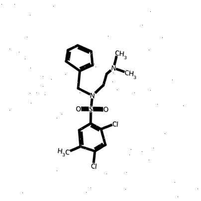 Cc1cc(S(=O)(=O)N(CCN(C)C)Cc2ccccc2)c(Cl)cc1Cl